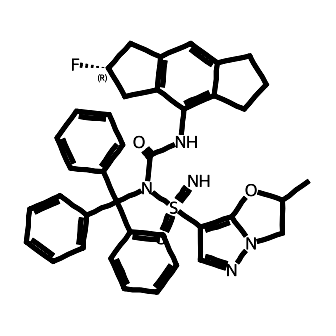 CC1Cn2ncc(S(=N)(=O)N(C(=O)Nc3c4c(cc5c3C[C@H](F)C5)CCC4)C(c3ccccc3)(c3ccccc3)c3ccccc3)c2O1